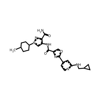 CC1CCC(n2cc(NC(=O)c3coc(-c4ccnc(NCC5CC5)c4)n3)c(C(N)=O)n2)CC1